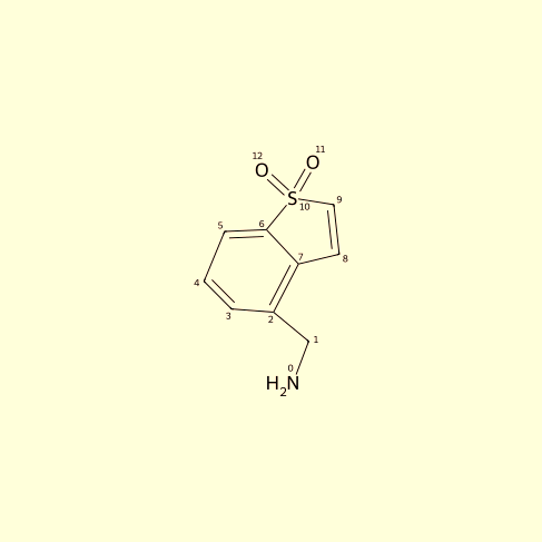 NCc1cccc2c1C=CS2(=O)=O